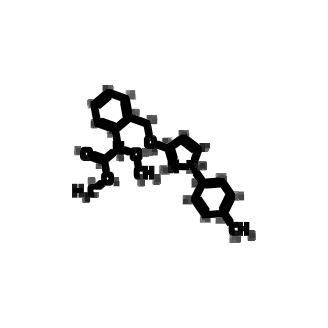 COC(=O)N(OC)c1ccccc1COc1ccn(-c2ccc(C)cc2)n1